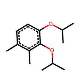 Cc1ccc(OC(C)C)c(OC(C)C)c1C